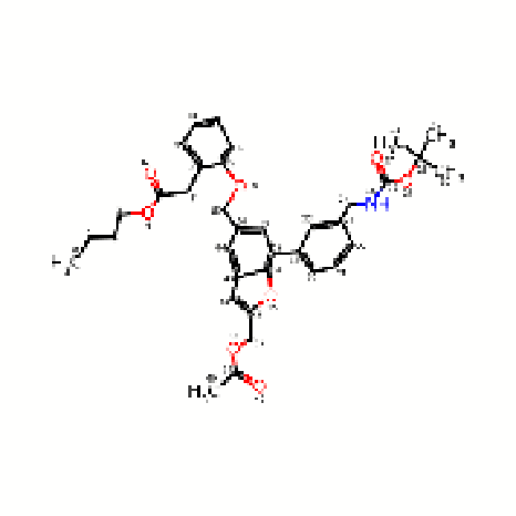 CCCCOC(=O)Cc1ccccc1OCc1cc(-c2cccc(CNC(=O)OC(C)(C)C)c2)c2oc(COC(C)=O)cc2c1